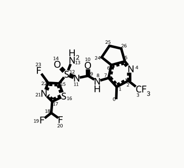 Cc1c(C(F)(F)F)nc2c(c1NC(=O)N=S(N)(=O)c1sc(C(F)F)nc1F)CCC2